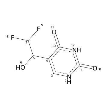 O=c1[nH]cc(C(O)C(F)F)c(=O)[nH]1